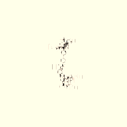 CC(C)(C)OC(=O)N=C(NC(=O)OC(C)(C)C)N1CC=C(c2ccc(C(=O)Nc3ccc4c(c3)CN(C(=NC(=O)OC(C)(C)C)NC(=O)OC(C)(C)C)C4)cc2)CC1